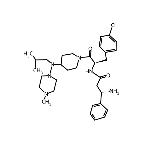 CC(C)CN(C1CCN(C(=O)[C@@H](Cc2ccc(Cl)cc2)NC(=O)C[C@H](N)c2ccccc2)CC1)N1CCN(C)CC1